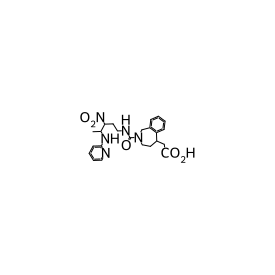 CC(Nc1ccccn1)C(CCNC(=O)N1CCC(CC(=O)O)c2ccccc2C1)[N+](=O)[O-]